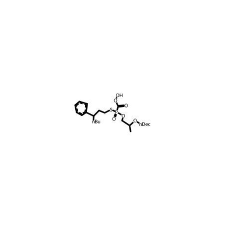 CCCCCCCCCCOC(C)COP(=O)(SCCC(CCCC)c1ccccc1)C(=O)OO